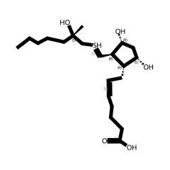 CCCCC[C@](C)(O)C/[SH]=C/[C@@H]1[C@@H](C/C=C\CCCC(=O)O)[C@@H](O)C[C@H]1O